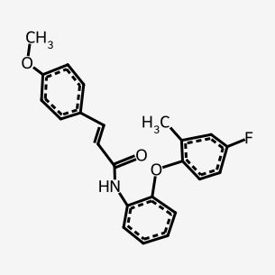 COc1ccc(/C=C/C(=O)Nc2ccccc2Oc2ccc(F)cc2C)cc1